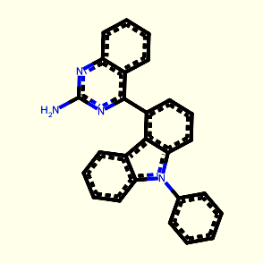 Nc1nc(-c2cccc3c2c2ccccc2n3-c2ccccc2)c2ccccc2n1